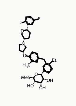 CCc1ccc([C@@H]2O[C@H](SC)[C@@H](O)[C@H](O)[C@H]2O)cc1Cc1ccc(O[C@@H]2CCN([C@@H]3CC[C@@H](c4cc(F)ccc4F)OC3)C2)c(C)c1